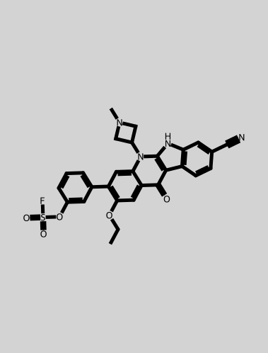 CCOc1cc2c(=O)c3c4ccc(C#N)cc4[nH]c3n(C3CN(C)C3)c2cc1-c1cccc(OS(=O)(=O)F)c1